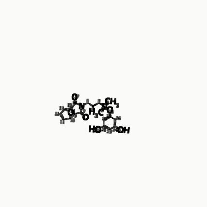 C[Si](C)(CCCN1C(=O)C2C3C=CC(O3)C2C1=O)Oc1cc(O)cc(O)c1